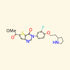 COC(=O)c1cc2ncn(-c3ccc(OCCC4CCCN4)c(F)c3)c(=O)c2s1